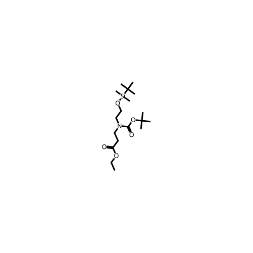 CCOC(=O)CCN(CCO[Si](C)(C)C(C)(C)C)C(=O)OC(C)(C)C